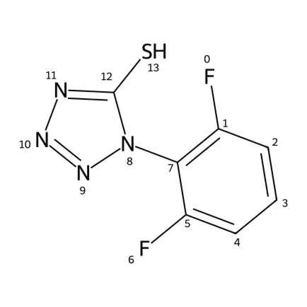 Fc1cccc(F)c1-n1nnnc1S